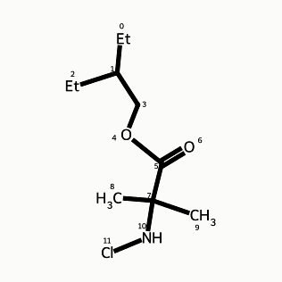 CCC(CC)COC(=O)C(C)(C)NCl